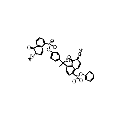 CCC(C)(c1ccc(OS(=O)(=O)c2cccc3c2C=CC(=[N+]=[N-])C3=O)cc1)c1ccc(S(=O)(=O)Oc2ccccc2)c2c1C(=O)C(=[N+]=[N-])C=C2